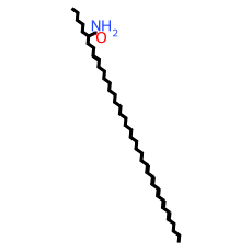 CCCC/C=C/C=C/C=C/C=C/C=C/CCCCCCCCCCCCCCCCC/C=C/CCC(CCCCC)C(N)=O